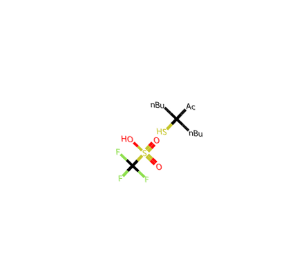 CCCCC(S)(CCCC)C(C)=O.O=S(=O)(O)C(F)(F)F